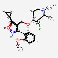 CC(C)(C)C1[C@@H](F)[C@H](OCc2c(-c3ccccc3OC(F)(F)F)noc2C2CC2)CCN1C(=O)O